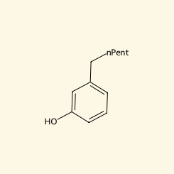 CCCCCCc1cccc(O)c1